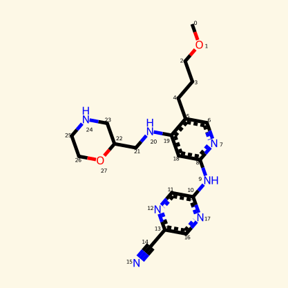 COCCCc1cnc(Nc2cnc(C#N)cn2)cc1NCC1CNCCO1